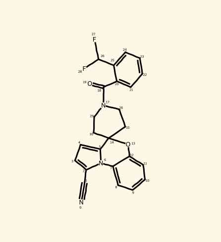 N#Cc1ccc2n1-c1ccccc1OC21CCN(C(=O)c2ccccc2C(F)F)CC1